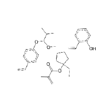 C=C(C)C(=O)OC1(CC)CCCC1.C=Cc1ccc(OC(OC)C(C)C)cc1.C=Cc1ccccc1O